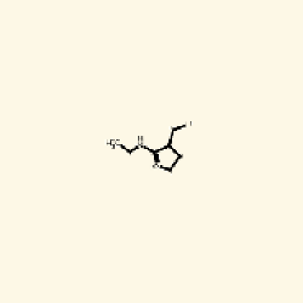 CCNC1=NCCC1CI